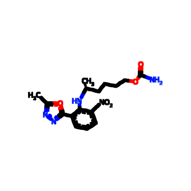 Cc1nnc(-c2cccc([N+](=O)[O-])c2N[C@H](C)CCCCOC(N)=O)o1